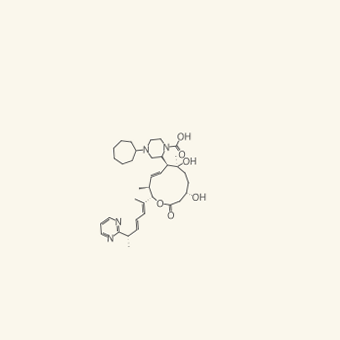 C/C(=C\C=C\[C@H](C)c1ncccn1)[C@H]1OC(=O)C[C@@H](O)CC[C@](C)(O)[C@H](C2CN(C3CCCCCC3)CCN2C(=O)O)/C=C/[C@@H]1C